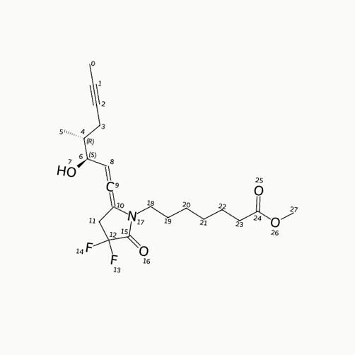 CC#CC[C@@H](C)[C@H](O)C=C=C1CC(F)(F)C(=O)N1CCCCCCC(=O)OC